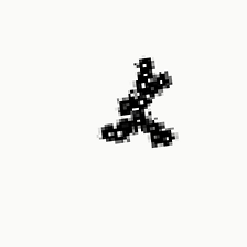 c1ccc2cc3c(cc2c1)CCC(c1ccc(-c2nc(-c4ccc5c(ccc6ccccc65)c4)nc(-c4ccc5c(ccc6ccccc65)c4)n2)c2c1sc1ccccc12)c1ccc2ccccc2c1-3